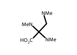 CNCC(NC)(NC)C(=O)O